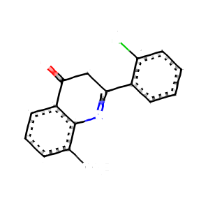 CCOC(=O)c1cccc2c1N=C(c1ccccc1Cl)CC2=O